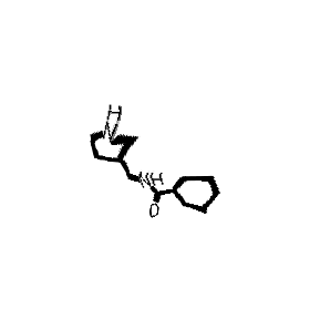 O=C(NCC1CCNC1)C1CCCCC1